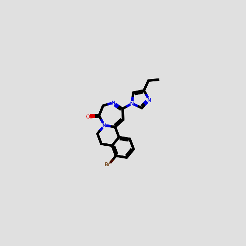 CCc1cn(C2=NCC(=O)N3CCc4c(Br)cccc4C3=C2)cn1